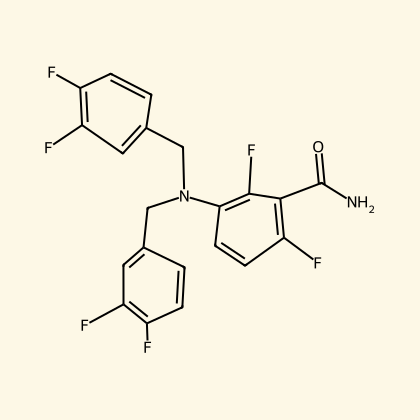 NC(=O)c1c(F)ccc(N(Cc2ccc(F)c(F)c2)Cc2ccc(F)c(F)c2)c1F